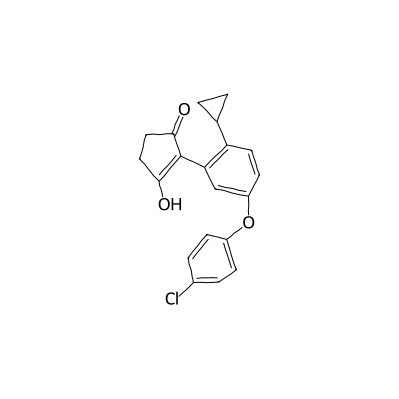 O=C1CCC(O)=C1c1cc(Oc2ccc(Cl)cc2)ccc1C1CC1